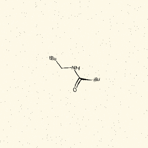 CC[C@H](C)C(=O)NCC(C)(C)C